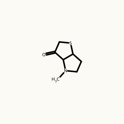 CN1CCC2SCC(=O)C21